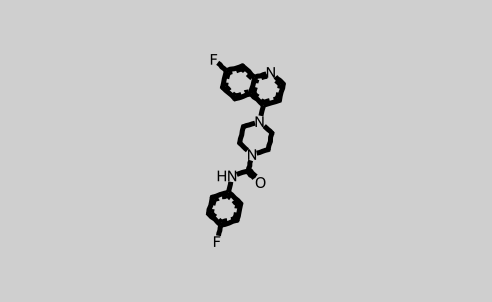 O=C(Nc1ccc(F)cc1)N1CCN(c2ccnc3cc(F)ccc23)CC1